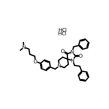 CN(C)CCCOc1ccc(CN2CCC3(CC2)C(=O)N(Cc2ccccc2)C(=O)N3CCc2ccccc2)cc1.Cl.Cl